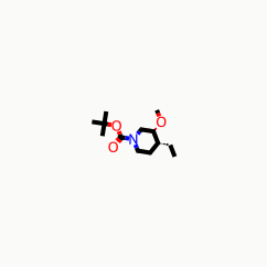 CC[C@@H]1CCN(C(=O)OC(C)(C)C)C[C@@H]1OC